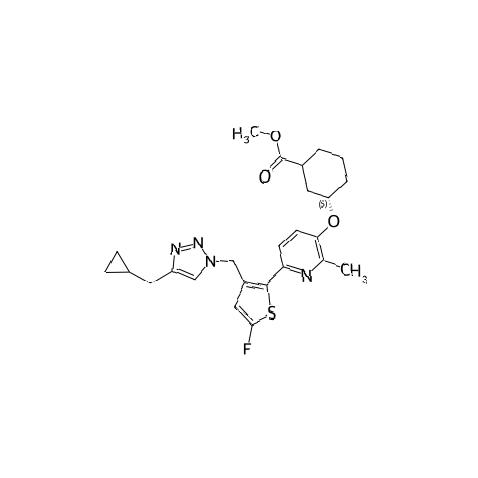 COC(=O)C1CCC[C@H](Oc2ccc(-c3sc(F)cc3Cn3cc(CC4CC4)nn3)nc2C)C1